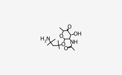 CC(=O)NC1C(OC(C)(C)CC(C)(C)N)OC(C)C(=O)[C@H]1O